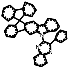 c1ccc(-c2nc3ccccc3nc2-n2c3ccccc3c3cc4c(cc32)-c2ccccc2C42c3ccccc3-c3ccccc32)cc1